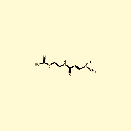 CN(C)C=NC(=S)NCCNC(=O)O